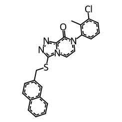 Cc1c(Cl)cccc1-n1ccn2c(SCc3ccc4ccccc4c3)nnc2c1=O